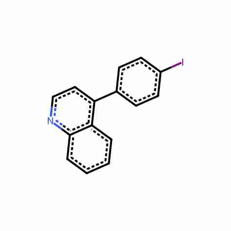 Ic1ccc(-c2ccnc3ccccc23)cc1